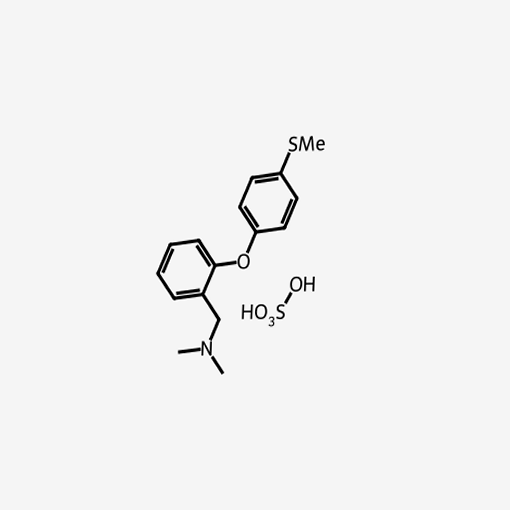 CSc1ccc(Oc2ccccc2CN(C)C)cc1.O=S(=O)(O)O